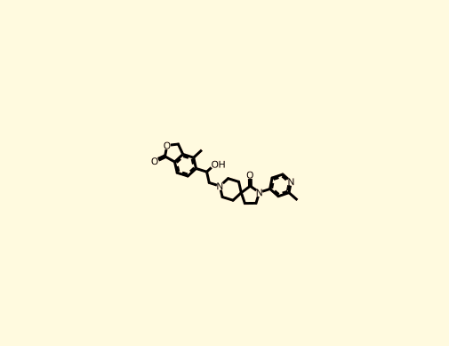 Cc1cc(N2CCC3(CCN(CC(O)c4ccc5c(c4C)COC5=O)CC3)C2=O)ccn1